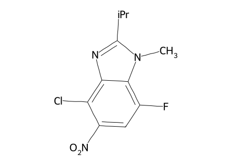 CC(C)c1nc2c(Cl)c([N+](=O)[O-])cc(F)c2n1C